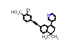 CCc1cc(C#Cc2ccc3c(c2)C(c2cccnc2)=CCC3(C)C)ccc1C(=O)O